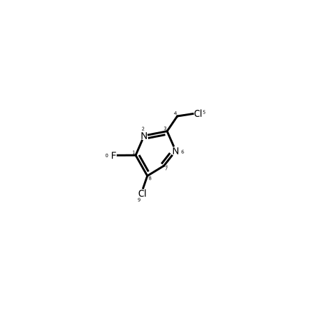 Fc1nc(CCl)n[c]c1Cl